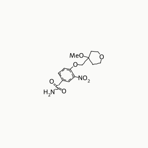 COC1(COc2ccc(S(N)(=O)=O)cc2[N+](=O)[O-])CCOCC1